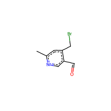 Cc1cc(CBr)c(C=O)cn1